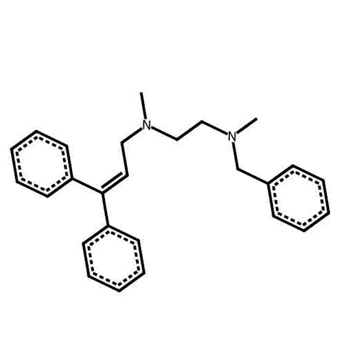 CN(CC=C(c1ccccc1)c1ccccc1)CCN(C)Cc1ccccc1